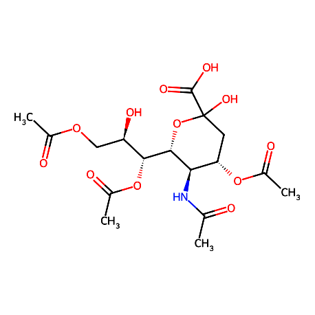 CC(=O)N[C@H]1[C@H]([C@H](OC(C)=O)[C@H](O)COC(C)=O)OC(O)(C(=O)O)C[C@@H]1OC(C)=O